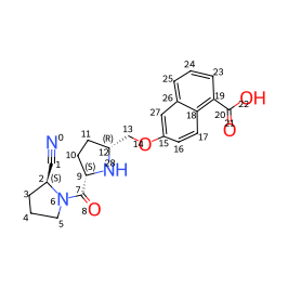 N#C[C@@H]1CCCN1C(=O)[C@@H]1CC[C@H](COc2ccc3c(C(=O)O)cccc3c2)N1